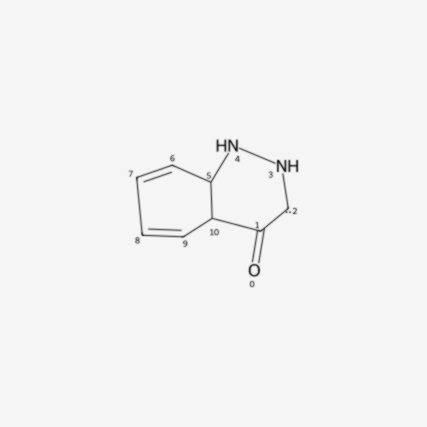 O=C1[C]NNC2C=CC=CC12